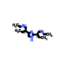 C=C/N=C\C(=C/C)c1c[nH]c(C(/C=N\C=C)=C/C)n1